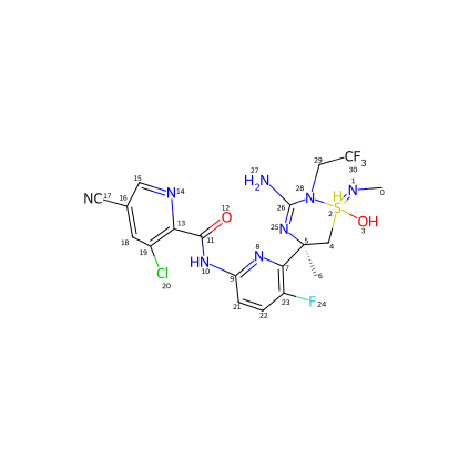 CN=[SH]1(O)C[C@@](C)(c2nc(NC(=O)c3ncc(C#N)cc3Cl)ccc2F)N=C(N)N1CC(F)(F)F